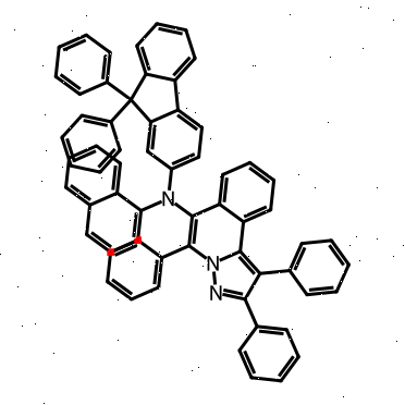 c1ccc(-c2nn3c(-c4ccccc4)c(N(c4ccc5c(c4)C(c4ccccc4)(c4ccccc4)c4ccccc4-5)c4cccc5ccccc45)c4ccccc4c3c2-c2ccccc2)cc1